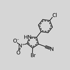 N#Cc1c(-c2ccc(Cl)cc2)[nH]c([N+](=O)[O-])c1Br